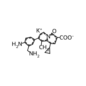 Cc1c(-c2ccc(N)c(CN)c2)ccn2c(=O)c(C(=O)[O-])cc(C3CC3)c12.[K+]